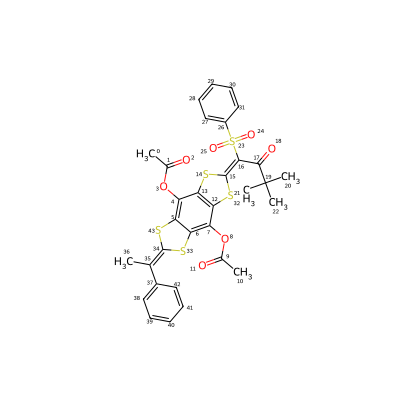 CC(=O)Oc1c2c(c(OC(C)=O)c3c1SC(=C(C(=O)C(C)(C)C)S(=O)(=O)c1ccccc1)S3)SC(=C(C)c1ccccc1)S2